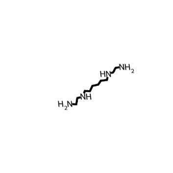 NCCNCCCCCCNCCN